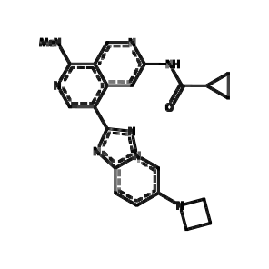 CNc1ncc(-c2nc3ccc(N4CCC4)cn3n2)c2cc(NC(=O)C3CC3)ncc12